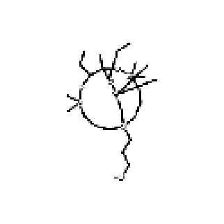 CCC1O[Si](C)(C)CCC[Si]2(CCCO)CCC[Si](C)(C)OC(CC)C1(C)O[Si](C)(C)CCC2